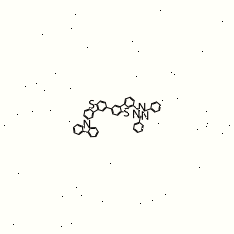 c1ccc(-c2nc(-c3ccccc3)nc(-c3cccc4c3sc3ccc(-c5ccc6sc7ccc(-n8c9ccccc9c9ccccc98)cc7c6c5)cc34)n2)cc1